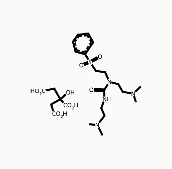 CN(C)CCNC(=O)N(CCN(C)C)CCS(=O)(=O)c1ccccc1.O=C(O)CC(O)(CC(=O)O)C(=O)O